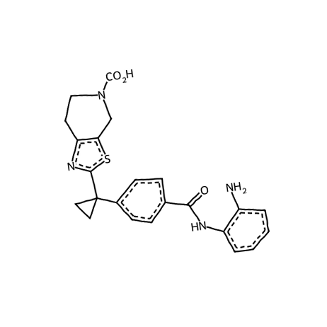 Nc1ccccc1NC(=O)c1ccc(C2(c3nc4c(s3)CN(C(=O)O)CC4)CC2)cc1